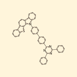 c1ccc(-c2nc(-c3ccccc3)nc(-c3ccc(-c4ccc(-n5c6ccccc6c6ccc7c8ccccc8sc7c65)cc4)cc3)n2)cc1